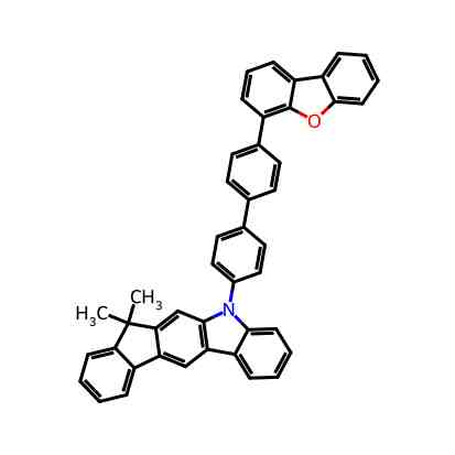 CC1(C)c2ccccc2-c2cc3c4ccccc4n(-c4ccc(-c5ccc(-c6cccc7c6oc6ccccc67)cc5)cc4)c3cc21